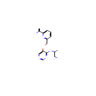 C=C(N)c1cccc(COc2cncnc2NC(CN)CCC)n1